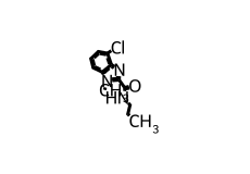 CCCNC(=O)c1nc2c(Cl)cccc2n1C